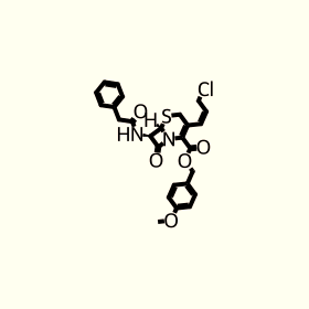 COc1ccc(COC(=O)C2=C(/C=C\CCl)CS[C@H]3[C@H](NC(=O)Cc4ccccc4)C(=O)N23)cc1